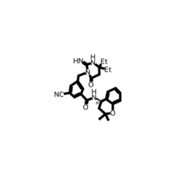 CCC1(CC)CC(=O)N(Cc2cc(C#N)cc(C(=O)N[C@@H]3CC(C)(C)Oc4ccccc43)c2)C(=N)N1